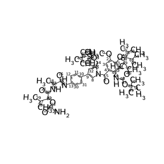 COc1cc(C(=O)N2C=C(c3ccc(NC(=O)[C@H](C)NC(=O)[C@@H](OC(N)=O)C(C)C)cc3)C[C@H]2CO[Si](C)(C)C(C)(C)C)c(NC(=O)OC(C)(C)C)cc1O[Si](C(C)C)(C(C)C)C(C)C